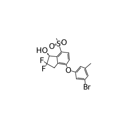 Cc1cc(Br)cc(Oc2ccc(S(C)(=O)=O)c3c2CC(F)(F)[C@H]3O)c1